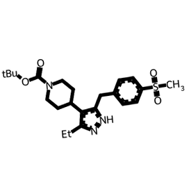 CCc1n[nH]c(Cc2ccc(S(C)(=O)=O)cc2)c1C1CCN(C(=O)OC(C)(C)C)CC1